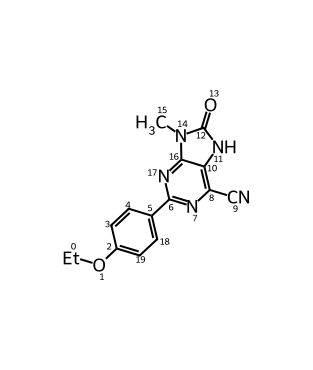 CCOc1ccc(-c2nc(C#N)c3[nH]c(=O)n(C)c3n2)cc1